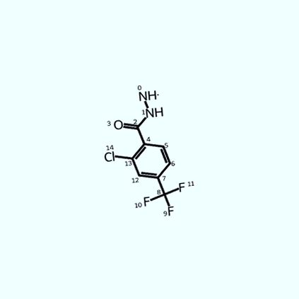 [NH]NC(=O)c1ccc(C(F)(F)F)cc1Cl